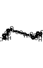 O=C(NCCCOCCOCCOCCCNC(=O)c1cccc(S(=O)(=O)Nc2cccc3c(Cl)c[nH]c23)c1)c1cccc(S(=O)(=O)Nc2cccc3c(Cl)c[nH]c23)c1